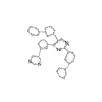 c1ccc(-c2cccc(-c3ncc(-c4cccc(-c5ccccc5)c4)c(-c4cccc(-c5cncnc5)c4)n3)c2)cc1